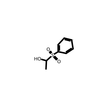 CC(O)S(=O)(=O)c1cc[c]cc1